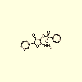 NC1=C(OS(=O)(=O)c2ccccc2)C(=O)C(c2cccnc2)O1